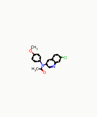 COc1ccc(N(C(C)=O)c2cnc3cc(Cl)ccc3c2)cc1